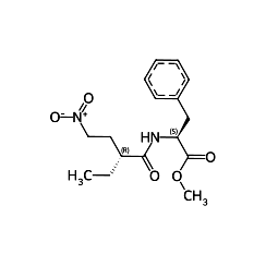 CC[C@H](CC[N+](=O)[O-])C(=O)N[C@@H](Cc1ccccc1)C(=O)OC